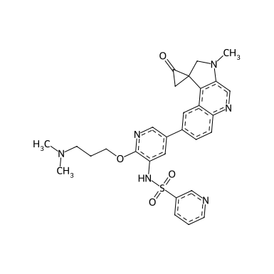 CN(C)CCCOc1ncc(-c2ccc3ncc4c(c3c2)C2(CC2=O)CN4C)cc1NS(=O)(=O)c1cccnc1